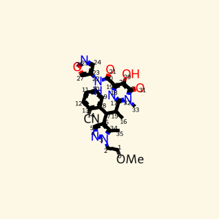 COCCn1ncc(C(c2ccccc2C#N)C(C)c2nc(C(=O)Nc3cnoc3)c(O)c(=O)n2C)c1C